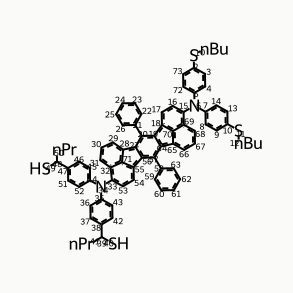 CCCCSc1ccc(N(c2ccc(SCCCC)cc2)c2ccc3c4c(-c5ccccc5)c5c6cccc7c(N(c8ccc(C(S)CCC)cc8)c8ccc(C(S)CCC)cc8)ccc(c5c(-c5ccccc5)c4c4cccc2c43)c76)cc1